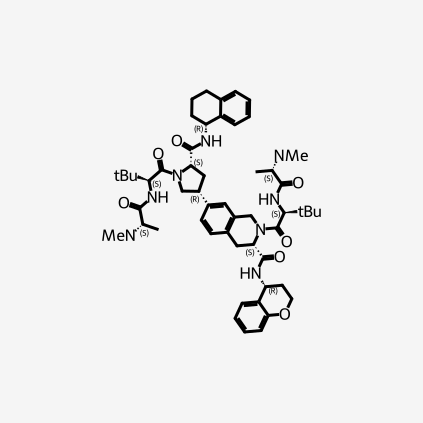 CN[C@@H](C)C(=O)N[C@H](C(=O)N1C[C@@H](c2ccc3c(c2)CN(C(=O)[C@@H](NC(=O)[C@H](C)NC)C(C)(C)C)[C@H](C(=O)N[C@@H]2CCOc4ccccc42)C3)C[C@H]1C(=O)N[C@@H]1CCCc2ccccc21)C(C)(C)C